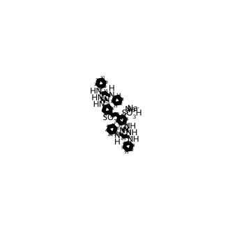 O=S(=O)(O)c1cc(NN2N=C(Nc3ccccc3)C=C(Nc3ccccc3)N2)ccc1C=Cc1ccc(NN2N=C(Nc3ccccc3)C=C(Nc3ccccc3)N2)cc1S(=O)(=O)O.[Na].[Na]